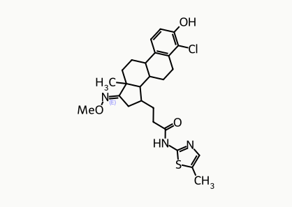 CO/N=C1\CC(CCC(=O)Nc2ncc(C)s2)C2C3CCc4c(ccc(O)c4Cl)C3CCC12C